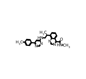 CNC(=O)c1ncnc2c([C@H](C)CNc3cc(-c4ccc(C)cc4)ncn3)cccc12